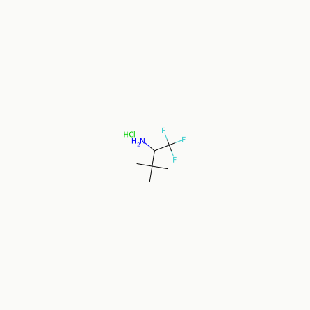 CC(C)(C)C(N)C(F)(F)F.Cl